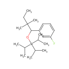 CCC(C)(C)C(O[Si](C(C)C)(C(C)C)C(C)C)c1cccc(F)c1